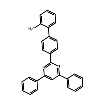 Cc1ccccc1-c1ccc(-c2nc(-c3ccccc3)cc(-c3ccccc3)n2)cc1